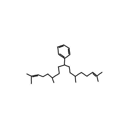 CC(C)=CCCC(C)CC[C](CCC(C)CCC=C(C)C)c1ccccc1